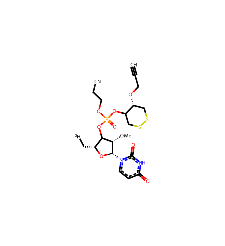 [2H]C[C@H]1O[C@@H](n2ccc(=O)[nH]c2=O)[C@@H](OC)C1OP(=O)(OCCC#N)OC1CSSC[C@H]1OCC#C